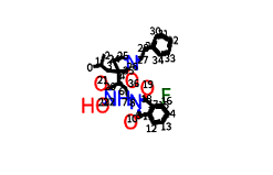 CC(C)CC1(C(CCN2C(=O)c3cccc(F)c3C2=O)C(=O)NO)CCN(CCc2ccccc2)C1=O